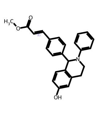 COC(=O)/C=C/c1ccc(C2c3ccc(O)cc3CCN2c2ccccc2)cc1